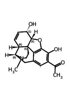 CC(=O)c1[c]c2c3c(c1O)O[C@H]1[C@@H](O)C=C[C@H]4[C@@H](C2)N(C)CC[C@@]341